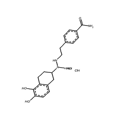 CCCCCCN(NCCc1ccc(C(N)=O)cc1)C1CCc2c(ccc(O)c2O)C1.Cl.Cl